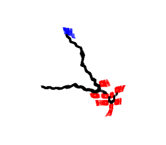 CCCCCCCCCCCCCC(=O)[C@@H](CO[C@H]1O[C@H](CO)[C@H](O)[C@H](O)[C@H]1O)[C@@H](O)CCCCCCCCCCCCCCCN